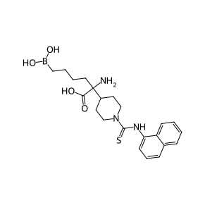 NC(CCCCB(O)O)(C(=O)O)C1CCN(C(=S)Nc2cccc3ccccc23)CC1